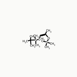 CC(=CO[Si](C)(C)C(C)(C)C)O[Si](C)(C)C